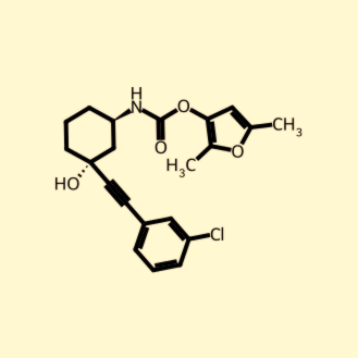 Cc1cc(OC(=O)N[C@@H]2CCC[C@](O)(C#Cc3cccc(Cl)c3)C2)c(C)o1